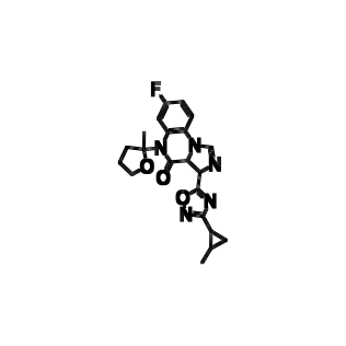 CC1CC1c1noc(C2N=CN3c4ccc(F)cc4N(C4(C)CCCO4)C(=O)C23)n1